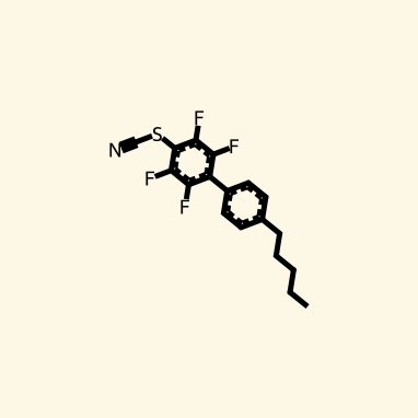 CCCCCc1ccc(-c2c(F)c(F)c(SC#N)c(F)c2F)cc1